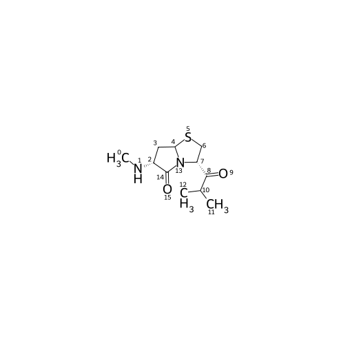 CN[C@@H]1CC2SC[C@H](C(=O)C(C)C)N2C1=O